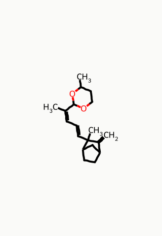 C=C1C2CCC(C2)C1(C)C=CC=C(C)C1OCCC(C)O1